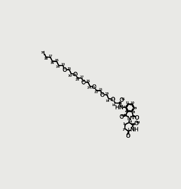 O=C1CCC(N2C(=O)c3cccc(NC(=O)COCCOCCOCCOCCOCCOCCCCCCI)c3C2=O)C(=O)N1